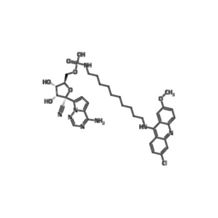 COc1ccc2nc3cc(Cl)ccc3c(NCCCCCCCCCCNP(=O)(O)OC[C@H]3O[C@@](C#N)(c4ccc5c(N)ncnn45)[C@H](O)[C@@H]3O)c2c1